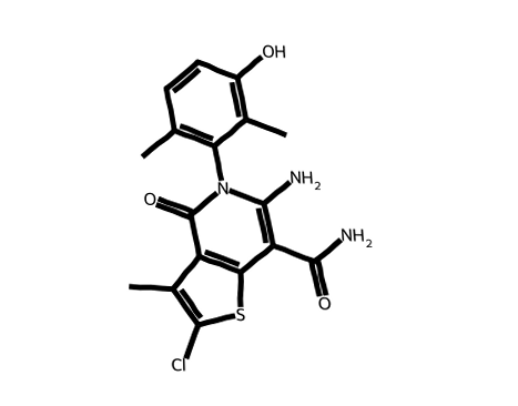 Cc1ccc(O)c(C)c1-n1c(N)c(C(N)=O)c2sc(Cl)c(C)c2c1=O